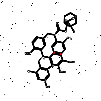 COc1ccc([C@H](Cc2c(Cl)c[n+](O)cc2Cl)c2cc(CN(C(=O)O[C@H]3CN4CCC3CC4)c3ccccc3C)ccc2C(=O)[O-])cc1OC